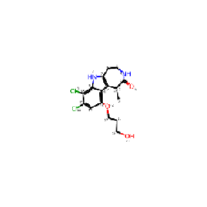 C[C@@H]1C(=O)NCCc2[nH]c3c(Cl)c(Cl)cc(OCCCO)c3c21